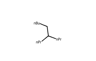 CCCCC[C](CCC)CCC